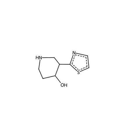 OC1CCNCC1c1nccs1